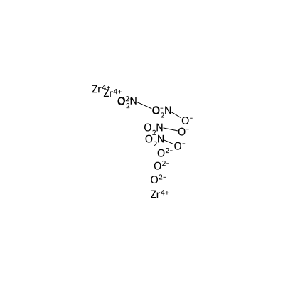 O=[N+]([O-])[O-].O=[N+]([O-])[O-].O=[N+]([O-])[O-].O=[N+]([O-])[O-].[O-2].[O-2].[O-2].[O-2].[Zr+4].[Zr+4].[Zr+4]